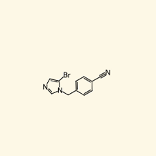 N#Cc1ccc(Cn2cncc2Br)cc1